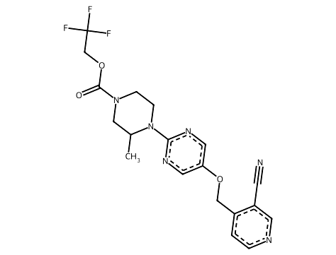 CC1CN(C(=O)OCC(F)(F)F)CCN1c1ncc(OCc2ccncc2C#N)cn1